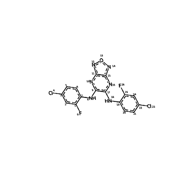 Fc1cc(Cl)ccc1Nc1nc2nonc2nc1Nc1ccc(Cl)cc1F